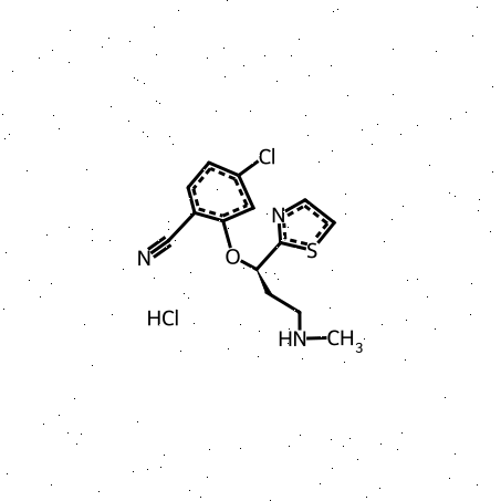 CNCC[C@@H](Oc1cc(Cl)ccc1C#N)c1nccs1.Cl